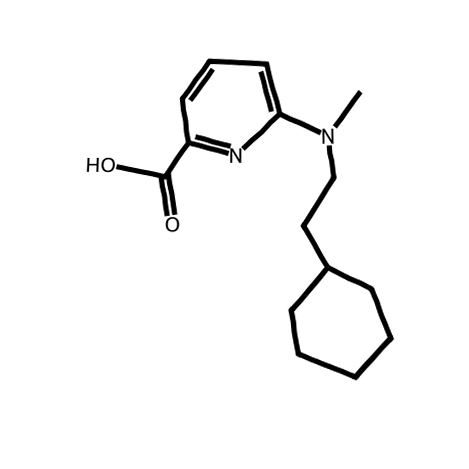 CN(CCC1CCCCC1)c1cccc(C(=O)O)n1